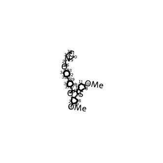 COc1ccc(-c2sc3cc(OC)ccc3c2C(=O)c2ccc(-c3ccc(OCCN4CCCCC4)cc3)cc2)cc1